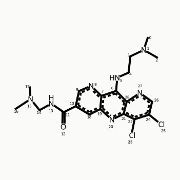 CN(C)CCNc1c2ncc(C(=O)NCN(C)C)cc2nc2c(Cl)c(Cl)cnc12